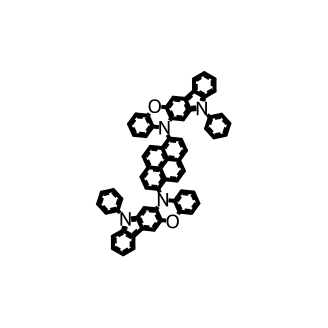 c1ccc(-n2c3ccccc3c3cc4c(cc32)N(c2ccc3ccc5c(N6c7ccccc7Oc7cc8c9ccccc9n(-c9ccccc9)c8cc76)ccc6ccc2c3c65)c2ccccc2O4)cc1